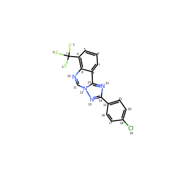 FC(F)(F)c1cccc2c1ncn1nc(-c3ccc(Cl)cc3)nc21